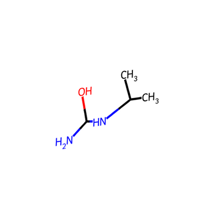 CC(C)NC(N)O